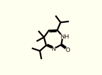 CC(C)C1=CC(C)(C)C(C(C)C)=NC(=O)N1